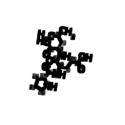 CC(C)C[C@H](NC(=O)[C@@H](CCC(=O)O)NC(=O)[C@H]1CCCN1)C(=O)O